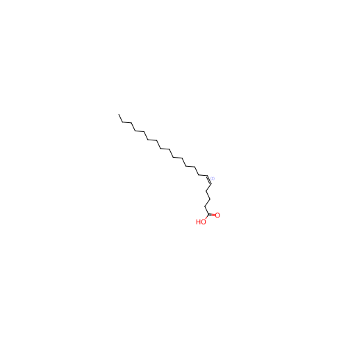 CCCCCCCCCCCCCC/C=C\CCCC(=O)O